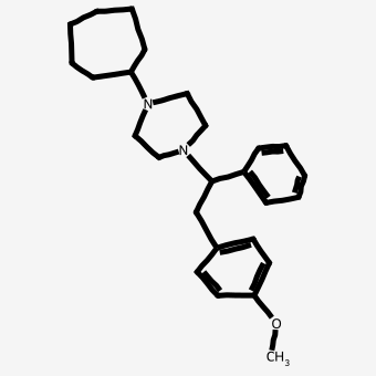 COc1ccc(CC(c2ccccc2)N2CCN(C3CCCCCC3)CC2)cc1